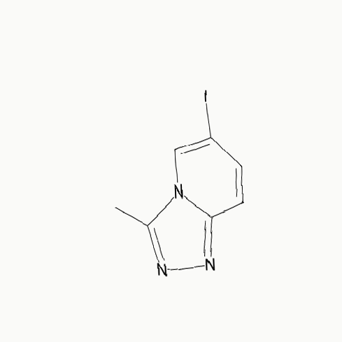 Cc1nnc2ccc(I)cn12